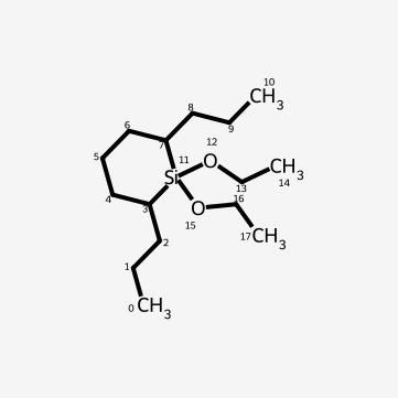 CCCC1CCCC(CCC)[Si]1(OCC)OCC